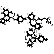 CN(C)CCCN1c2ccccc2CCc2ccccc21.C[C@@H](c1ncncc1F)[C@](O)(Cn1cncn1)c1ccc(F)cc1F.Clc1ccc(COC(Cn2ccnc2)c2ccc(Cl)cc2Cl)c(Cl)c1